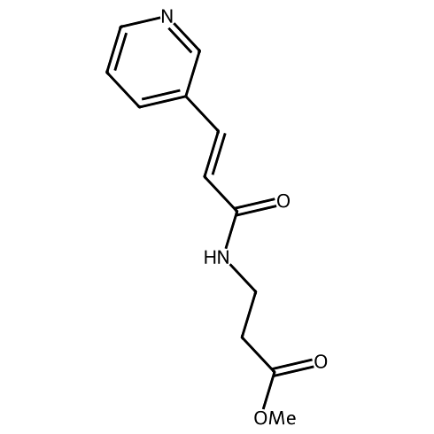 COC(=O)CCNC(=O)C=Cc1cccnc1